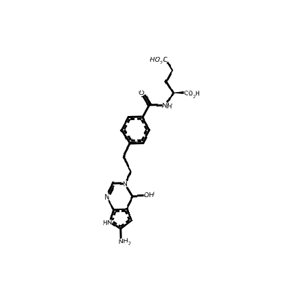 Nc1cc2c([nH]1)N=CN(CCc1ccc(C(=O)N[C@@H](CCC(=O)O)C(=O)O)cc1)C2O